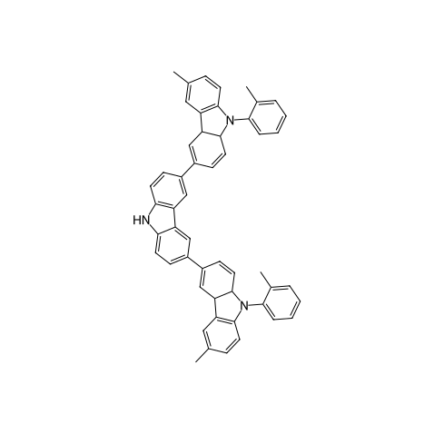 Cc1ccc2c(c1)C1C=C(c3ccc4[nH]c5ccc(C6=CC7c8cc(C)ccc8N(c8ccccc8C)C7C=C6)cc5c4c3)C=CC1N2c1ccccc1C